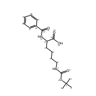 CC(C)(C)OC(=O)NCCCCC(NC(=O)c1ccccc1)C(=O)O